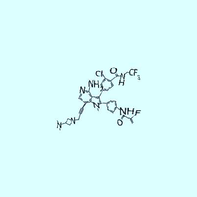 C=C(F)C(=O)Nc1ccc(-c2c(-c3ccc(C(=O)NCC(F)(F)F)c(Cl)c3)c3c(N)ncc(C#CCN4CC(N(C)C)C4)c3n2C)cc1